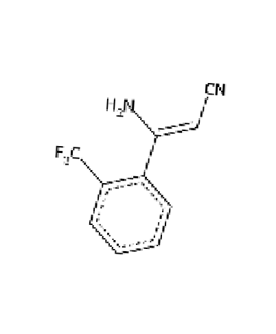 N#C/C=C(\N)c1ccccc1C(F)(F)F